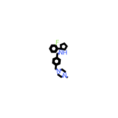 CN1CCN(Cc2ccc(CNC3(c4ccccc4F)CCCC3)cc2)CC1